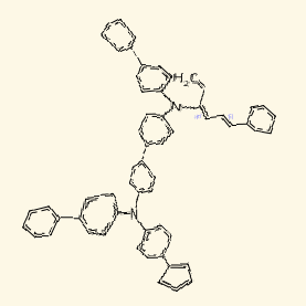 C=C/C(=C\C=C\c1ccccc1)N(c1ccc(-c2ccccc2)cc1)c1ccc(-c2ccc(N(c3ccc(C4=CC=C=C4)cc3)c3ccc(-c4ccccc4)cc3)cc2)cc1